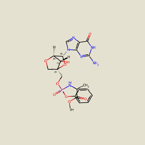 CC(C)OC(=O)C(C)NP(=O)(OC[C@@]12CO[C@@H]([C@H](n3cnc4c(=O)[nH]c(N)nc43)O1)[C@@H]2O)Oc1ccccc1